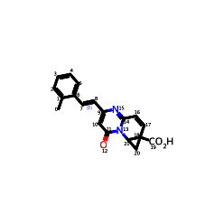 Cc1ccccc1/C=C/c1cc(=O)n2c(n1)C=CC1(C(=O)O)CC21